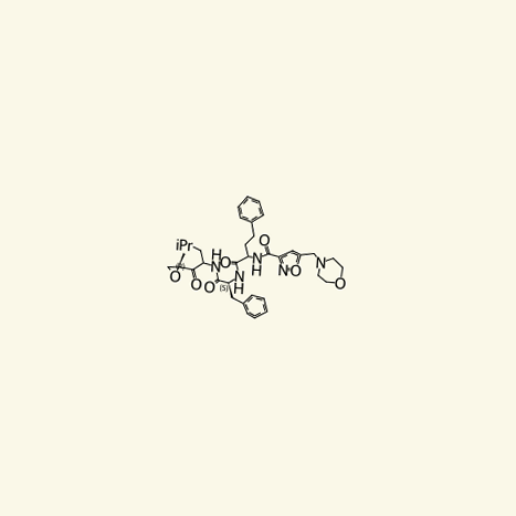 CC(C)CC(NC(=O)[C@H](Cc1ccccc1)NC(=O)C(CCc1ccccc1)NC(=O)c1cc(CN2CCOCC2)on1)C(=O)[C@@]1(C)CO1